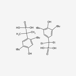 CC(C)(C)c1cc(C(C)(C)P(=O)(O)O)c(C(C)(C)C)cc1O.CCC(CC)(c1cc(C(C)(C)C)c(O)c(C(C)(C)C)c1)P(=O)(O)O